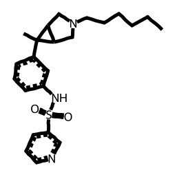 CCCCCCN1CC2C(C1)C2(C)c1cccc(NS(=O)(=O)c2cccnc2)c1